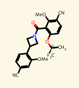 COc1cc(C#N)ccc1C1CN(C(=O)c2c(O[C@@H](C)C(F)(F)F)ccc(C#N)c2OC)C1